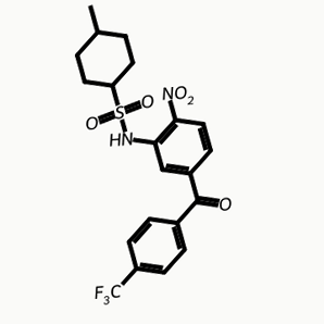 CC1CCC(S(=O)(=O)Nc2cc(C(=O)c3ccc(C(F)(F)F)cc3)ccc2[N+](=O)[O-])CC1